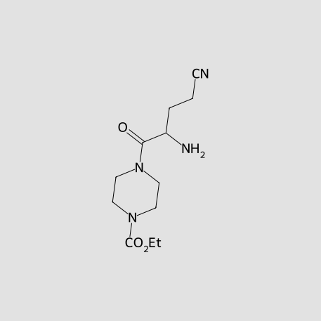 CCOC(=O)N1CCN(C(=O)C(N)CCC#N)CC1